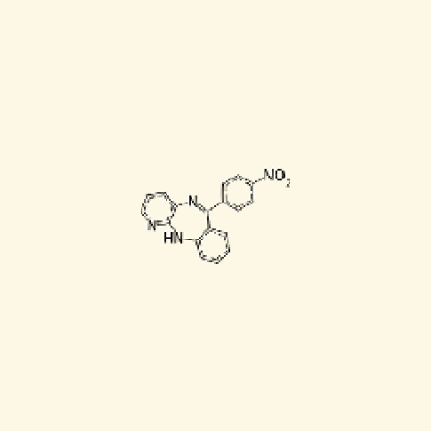 O=[N+]([O-])c1ccc(C2=Nc3cccnc3Nc3ccccc32)cc1